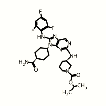 CC(C)OC(=O)N1CCC[C@@H](Nc2ncc3nc(Nc4c(F)cc(F)cc4F)n([C@H]4CC[C@H](C(N)=O)CC4)c3n2)C1